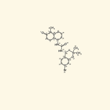 Cn1c(=O)ccc2c(NC(=O)N[C@@H]3CC(C)(C)Oc4cc(Br)ccc43)cccc21